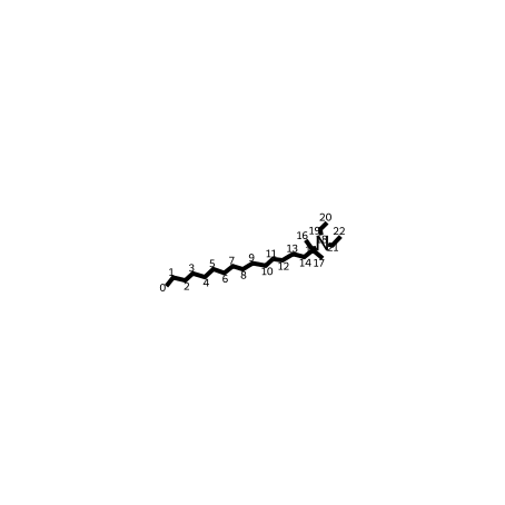 CCCCCCCCCCCCCCCC(C)(C)N(CC)CC